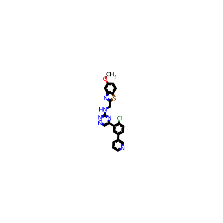 COc1ccc2sc(CNc3nncc(-c4cc(-c5cccnc5)ccc4Cl)n3)nc2c1